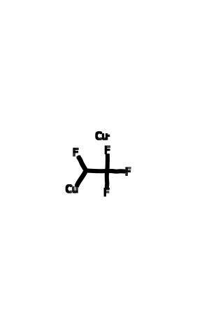 F[CH]([Cu])C(F)(F)F.[Cu]